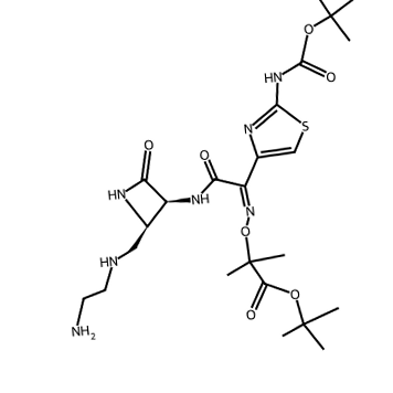 CC(C)(C)OC(=O)Nc1nc(/C(=N/OC(C)(C)C(=O)OC(C)(C)C)C(=O)N[C@@H]2C(=O)N[C@@H]2CNCCN)cs1